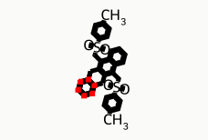 Cc1ccc(S(=O)(=O)Cc2c3c(c(CS(=O)(=O)c4ccc(C)cc4)c4ccccc24)C2c4ccccc4C3c3ccccc32)cc1